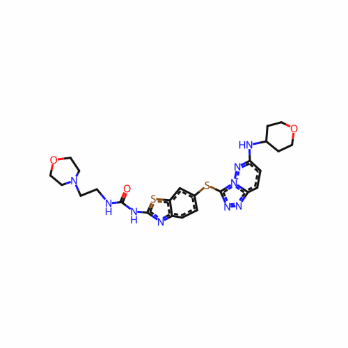 O=C(NCCN1CCOCC1)Nc1nc2ccc(Sc3nnc4ccc(NC5CCOCC5)nn34)cc2s1